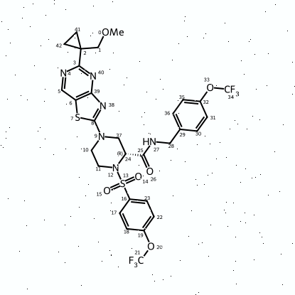 COCC1(c2ncc3sc(N4CCN(S(=O)(=O)c5ccc(OC(F)(F)F)cc5)[C@@H](C(=O)NCc5ccc(OC(F)(F)F)cc5)C4)nc3n2)CC1